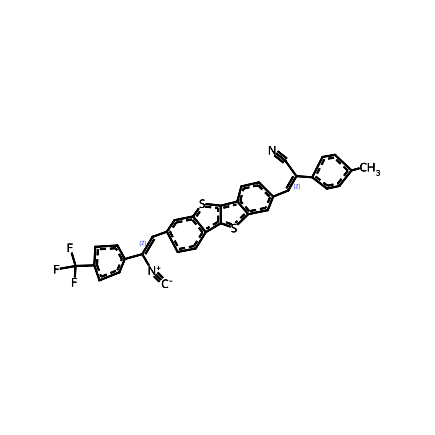 [C-]#[N+]/C(=C\c1ccc2c(c1)sc1c3ccc(/C=C(\C#N)c4ccc(C)cc4)cc3sc21)c1ccc(C(F)(F)F)cc1